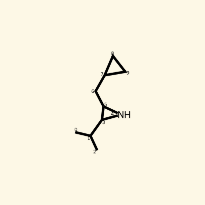 CC(C)C1NC1CC1CC1